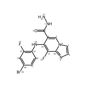 NNC(=O)c1cn2ccnc2c(F)c1Nc1ccc(Br)cc1F